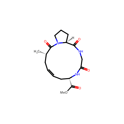 COC(=O)[C@@H]1CC=CC[C@H](C)C(=O)N2CCC[C@H]2C(=O)NCC(=O)N1